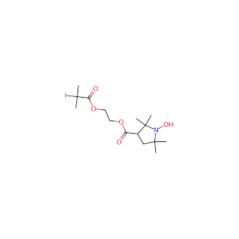 CC(C)(I)C(=O)OCCOC(=O)C1CC(C)(C)N(O)C1(C)C